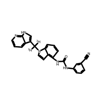 [2H]C([2H])(c1c[nH]c2ncccc12)n1ccc2c(NC(=O)Nc3cccc(C#N)c3)cccc21